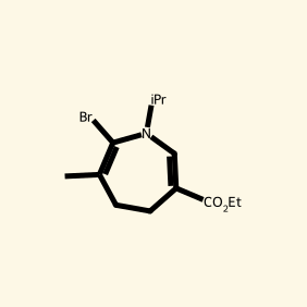 CCOC(=O)C1=CN(C(C)C)C(Br)=C(C)CC1